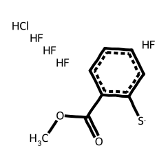 COC(=O)c1ccccc1[S].Cl.F.F.F.F